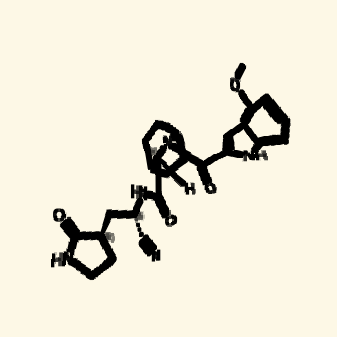 COc1cccc2[nH]c(C(=O)N3C4CCC(CC4)[C@H]3C(=O)N[C@H](C#N)C[C@H]3CCNC3=O)cc12